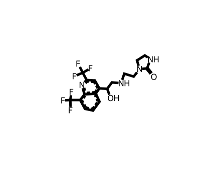 O=C1NCCN1CCNCC(O)c1cc(C(F)(F)F)nc2c(C(F)(F)F)cccc12